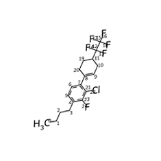 CCCCc1ccc(C2=CCC(C(F)(F)C(F)(F)F)CC2)c(Cl)c1F